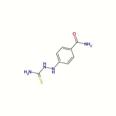 NC(=O)c1ccc(NNC(N)=S)cc1